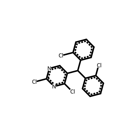 Clc1ncc(C(c2ccccc2Cl)c2ccccc2Cl)c(Cl)n1